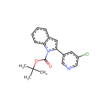 CC(C)(C)OC(=O)n1c(-c2cncc(Cl)c2)cc2ccccc21